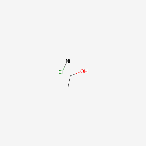 CCO.[Cl][Ni]